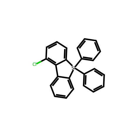 Clc1cccc2c1-c1ccccc1[Si]2(c1ccccc1)c1ccccc1